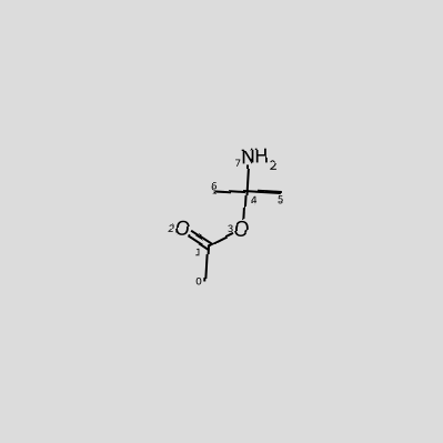 CC(=O)OC(C)(C)N